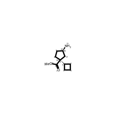 COC(=O)[C@@]1(C2CCC2)CC[C@@H](N)C1